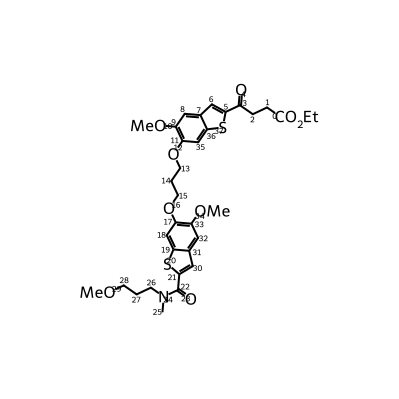 CCOC(=O)CCC(=O)c1cc2cc(OC)c(OCCCOc3cc4sc(C(=O)N(C)CCCOC)cc4cc3OC)cc2s1